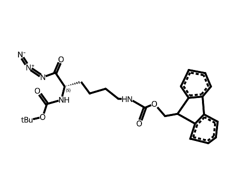 CC(C)(C)OC(=O)N[C@@H](CCCCNC(=O)OCC1c2ccccc2-c2ccccc21)C(=O)N=[N+]=[N-]